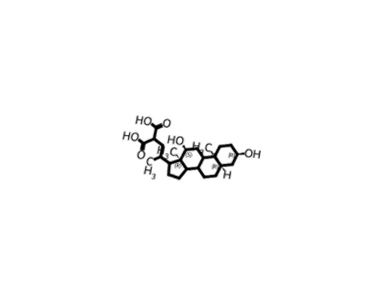 CC(CC(C(=O)O)C(=O)O)C1CCC2C3CC[C@@H]4C[C@H](O)CC[C@]4(C)C3C[C@H](O)[C@]12C